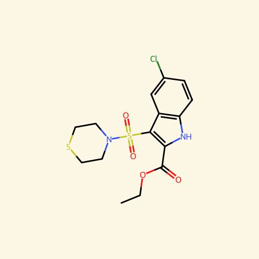 CCOC(=O)c1[nH]c2ccc(Cl)cc2c1S(=O)(=O)N1CCSCC1